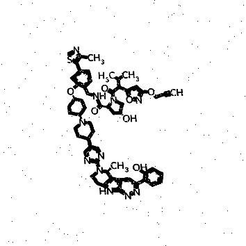 C#CCOc1cc(C(C(=O)N2C[C@H](O)C[C@H]2C(=O)NCc2ccc(-c3scnc3C)cc2O[C@H]2CC[C@H](N3CCC(c4cnc(N5CCc6[nH]c7nnc(-c8ccccc8O)cc7c6[C@@H]5C)nc4)CC3)CC2)C(C)C)on1